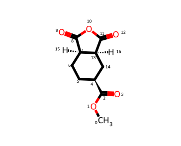 COC(=O)[C@H]1CC[C@H]2C(=O)OC(=O)[C@H]2C1